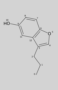 CCCc1coc2ccc(O)cc12